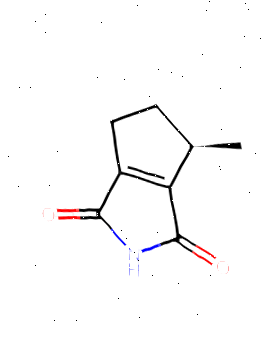 C[C@@H]1CCC2=C1C(=O)NC2=O